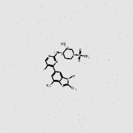 Cc1cc(-c2nc(N[C@@H]3CCN(S(C)(=O)=O)C[C@H]3O)ncc2F)cc2c1nc(C)n2C(C)C